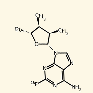 CC[C@H]1O[C@@H](n2cnc3c(N)nc([18F])nc32)[C@H](C)[C@@H]1C